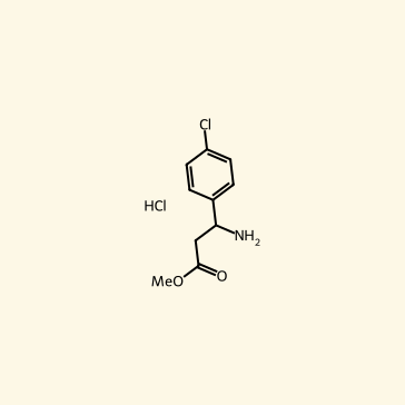 COC(=O)CC(N)c1ccc(Cl)cc1.Cl